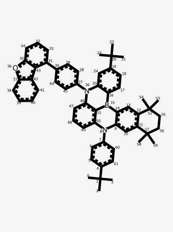 CC(C)(C)c1ccc(N2c3cc4c(cc3B3c5ccc(C(C)(C)C)cc5N(c5ccc(-c6cccc7oc8ccccc8c67)cc5)c5cccc2c53)C(C)(C)CCC4(C)C)cc1